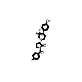 C[C@@H](c1ccc(F)cc1)N1CC[C@H](N2CC[C@H](c3ccc(O)cc3)C(F)(F)C2)C1=O